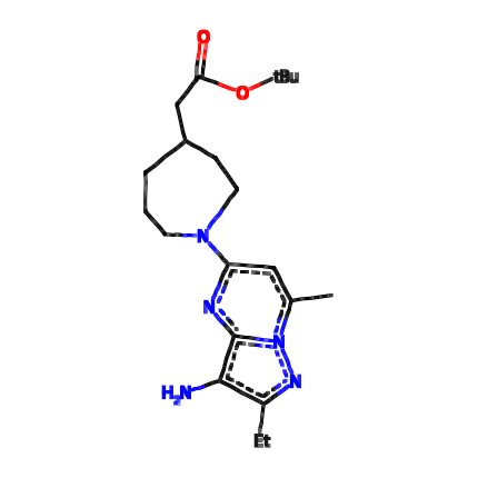 CCc1nn2c(C)cc(N3CCCC(CC(=O)OC(C)(C)C)CC3)nc2c1N